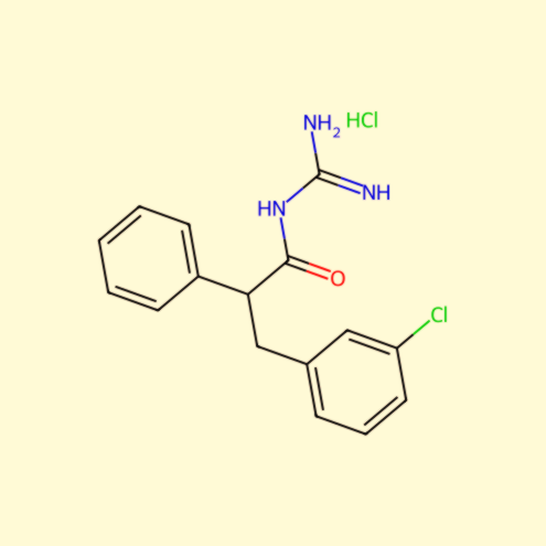 Cl.N=C(N)NC(=O)C(Cc1cccc(Cl)c1)c1ccccc1